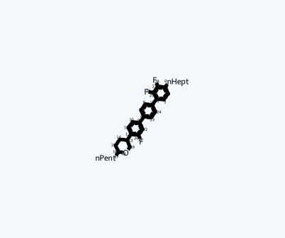 CCCCCCCc1ccc(-c2ccc(-c3ccc(C4CCC(CCCCC)OC4)c(F)c3)cc2)c(F)c1F